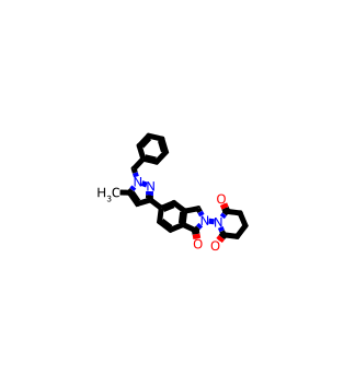 Cc1cc(-c2ccc3c(c2)CN(N2C(=O)CCCC2=O)C3=O)nn1Cc1ccccc1